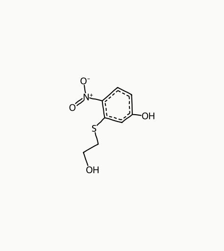 O=[N+]([O-])c1ccc(O)cc1SCCO